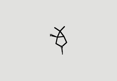 CC1(C)C2CN(I)C[C@@H]21